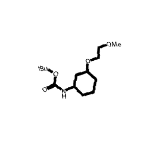 COCCOC1CCCC(NC(=O)OC(C)(C)C)C1